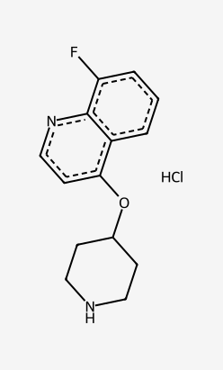 Cl.Fc1cccc2c(OC3CCNCC3)ccnc12